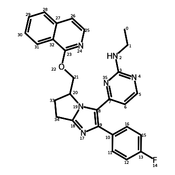 CCNc1nccc(-c2c(-c3ccc(F)cc3)nc3n2C(COc2nccc4ccccc24)CC3)n1